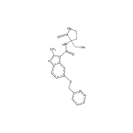 Cc1oc2ccc(OCc3ccccn3)cc2c1C(=O)NC1(CO)CCNC1=O